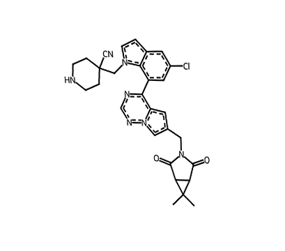 CC1(C)C2C(=O)N(Cc3cc4c(-c5cc(Cl)cc6ccn(CC7(C#N)CCNCC7)c56)ncnn4c3)C(=O)C21